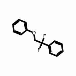 FC(F)(COc1ccccc1)c1ccccc1